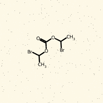 CC(Br)OC(=O)OC(C)Br